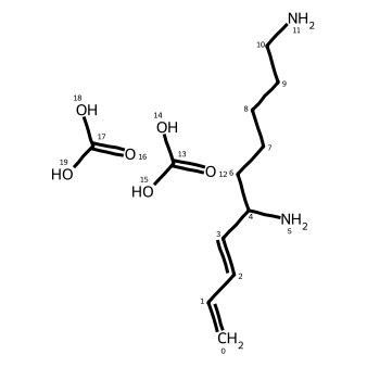 C=CC=CC(N)CCCCCN.O=C(O)O.O=C(O)O